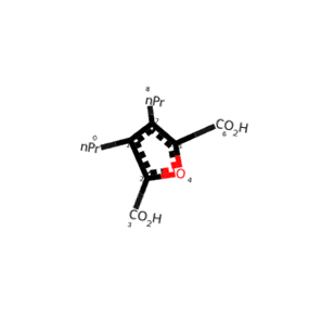 CCCc1c(C(=O)O)oc(C(=O)O)c1CCC